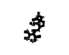 C[C@@H](O)[C@H](NCC1CCC2(CNC2=O)N1C)C(N)=O